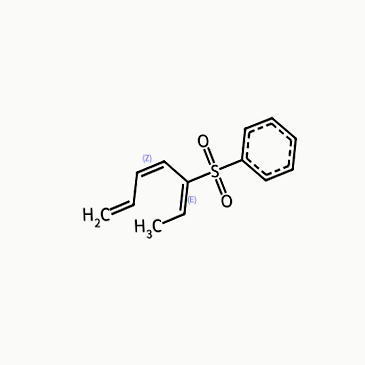 C=C/C=C\C(=C/C)S(=O)(=O)c1ccccc1